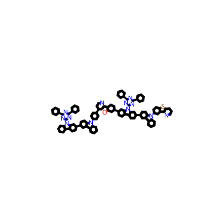 c1ccc(-c2nc(-c3ccccc3)nc(-n3c4ccccc4c4ccc(-c5ccc6c(c5)c5ccccc5n6-c5ccc(-c6ccnc7c6oc6cc(-c8ccc9c%10ccc(-c%11ccc%12c(c%11)c%11ccccc%11n%12-c%11ccc%12sc%13cccnc%13c%12c%11)cc%10n(-c%10nc(-c%11ccccc%11)nc(-c%11ccccc%11)n%10)c9c8)ccc67)cc5)cc43)n2)cc1